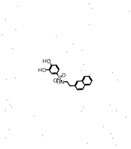 O=S(=O)(NCCc1ccc2ccccc2c1)c1ccc(O)c(O)c1